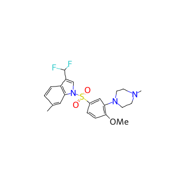 COc1ccc(S(=O)(=O)n2cc(C(F)F)c3ccc(C)cc32)cc1N1CCN(C)CC1